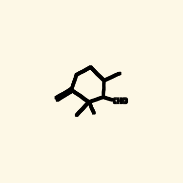 C=C1CCC(C)C(C=O)C1(C)C